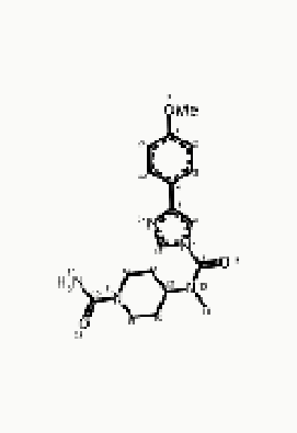 COc1ccc(-c2cn(C(=O)N(C)C3CCN(C(N)=O)CC3)cn2)cc1